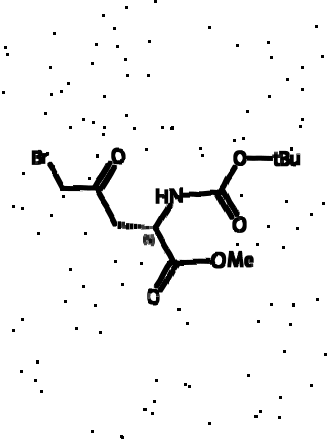 COC(=O)[C@H](CC(=O)CBr)NC(=O)OC(C)(C)C